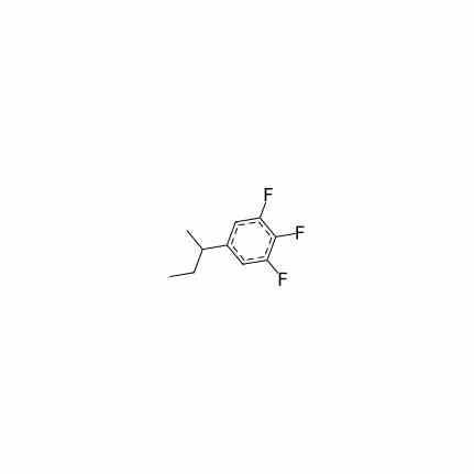 CCC(C)c1cc(F)c(F)c(F)c1